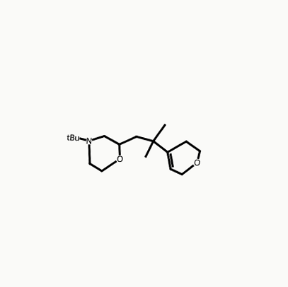 CC(C)(CC1CN(C(C)(C)C)CCO1)C1=CCOCC1